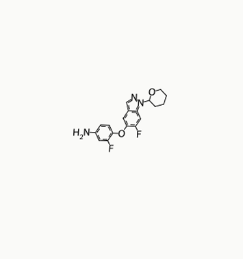 Nc1ccc(Oc2cc3cnn(C4CCCCO4)c3cc2F)c(F)c1